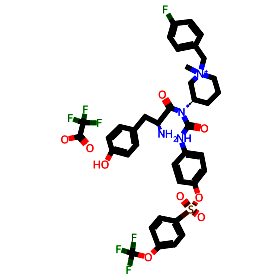 C[N+]1(Cc2ccc(F)cc2)CCC[C@H](N(C(=O)Nc2ccc(OS(=O)(=O)c3ccc(OC(F)(F)F)cc3)cc2)C(=O)[C@@H](N)Cc2ccc(O)cc2)C1.O=C([O-])C(F)(F)F